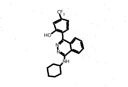 Oc1cc(C(F)(F)F)ccc1-c1nnc(NC2CCCCC2)c2ccccc12